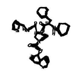 O=C(NCc1cccs1)[C@@H]1CN(C(=O)Oc2cccc3ncccc23)CCN1C(=O)[C@@H](CC1CCCCC1)NC1CCCCC1